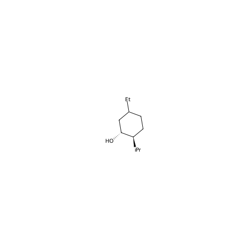 CCC1CC[C@@H](C(C)C)[C@H](O)C1